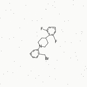 Fc1cccc(F)c1C1CCN(c2ccccc2CBr)CC1